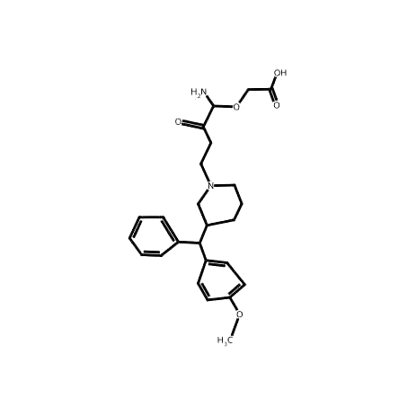 COc1ccc(C(c2ccccc2)C2CCCN(CCC(=O)C(N)OCC(=O)O)C2)cc1